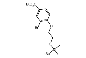 CCOC(=O)c1ccc(OCCO[Si](C)(C)C(C)(C)C)c(Br)c1